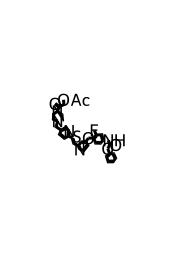 CC(=O)OCC(=O)N1CCN(Cc2ccc(-c3cc4nccc(Oc5ccc(NC(=O)Oc6ccccc6)cc5F)c4s3)nc2)CC1